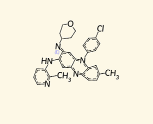 Cc1ccc2nc3cc(Nc4cccnc4C)/c(=N/C4CCOCC4)cc-3n(-c3ccc(Cl)cc3)c2c1